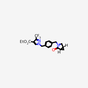 CCOC(=O)c1cn(Cc2ccc(CN3C[C@@H]4C[C@@H]4C3=O)cc2)nc1C(F)(F)F